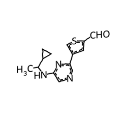 CC(Nc1cncc(-c2csc(C=O)c2)n1)C1CC1